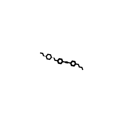 CCCCc1ccc(C#Cc2ccc(CC[C@H]3CC[C@H](CCC)CC3)cc2)cc1